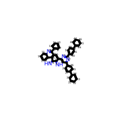 N=C1C(=N)c2c(c(-c3ccccc3)nc3ccccc23)C=C1c1cc(-c2ccc(-c3ccccc3)cc2)nc(-c2ccc(-c3ccccc3)cc2)n1